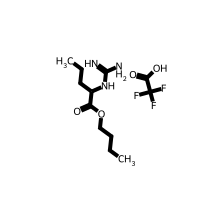 CCCCOC(=O)C(CCC)NC(=N)N.O=C(O)C(F)(F)F